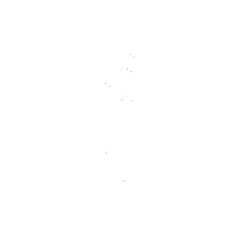 Cc1nc(Nc2ccn(C)n2)sc1-c1ccc(S(C)(=O)=O)c(F)c1